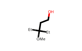 CCC(CC)(CCO)OC